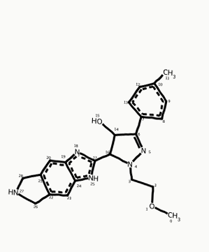 COCCN1N=C(c2ccc(C)cc2)C(O)C1c1nc2cc3c(cc2[nH]1)CNC3